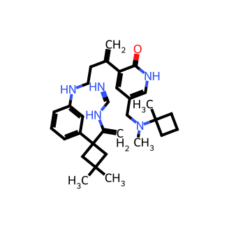 C=C(CCNc1cccc(C2(C(=C)NC=N)CC(C)(C)C2)c1)c1cc(CN(C)C2(C)CCC2)c[nH]c1=O